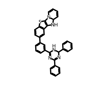 C1=CC2Nc3c(sc4ccc(-c5cccc(C6=NC(c7ccccc7)=NC(c7ccccc7)N6)c5)cc34)N2C=C1